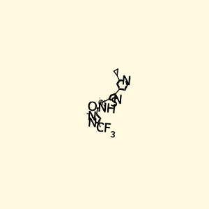 C[C@@H](NC(=O)c1cc(C(F)(F)F)nn1C)c1cc(-c2ccnc(C3CC3)c2)ns1